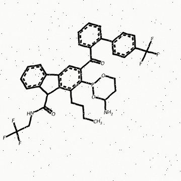 CCCCc1c2c(cc(C(=O)c3ccccc3-c3ccc(C(F)(F)F)cc3)c1P1OCCC(N)O1)-c1ccccc1C2C(=O)NCC(F)(F)F